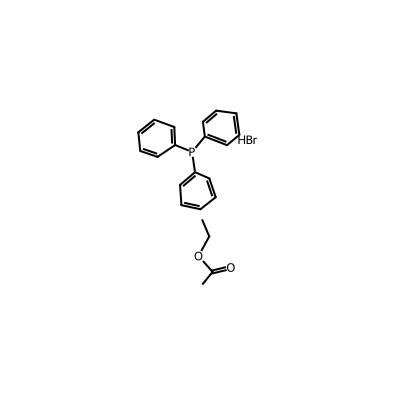 Br.CCOC(C)=O.c1ccc(P(c2ccccc2)c2ccccc2)cc1